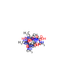 CCCCC[C@H](NC(=O)[C@H](Cc1ccc(O)cc1)NC(=O)[C@H](CC(C)C)NC(=O)[C@H](CCC(=O)O)NC(=O)CNC)C(=O)N[C@@H](CO)C(=O)N[C@H](C(=O)N[C@@H](CC(C)C)C(=O)N[C@@H](Cc1ccc(O)cc1)C(=O)NCC)[C@@H](C)CC